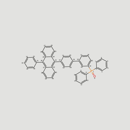 O=P(c1ccccc1)(c1ccccc1)c1cccc(-c2ccc(-c3c4ccccc4c(-c4ccccc4)c4ccccc34)cc2)c1